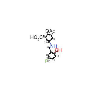 CC(=O)Oc1ccc(NCc2cc(F)ccc2O)cc1C(=O)O